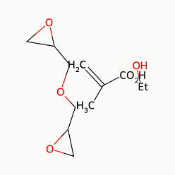 C(OCC1CO1)C1CO1.C=C(C)C(=O)O.CCO